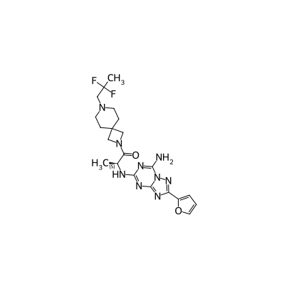 C[C@H](Nc1nc(N)n2nc(-c3ccco3)nc2n1)C(=O)N1CC2(CCN(CC(C)(F)F)CC2)C1